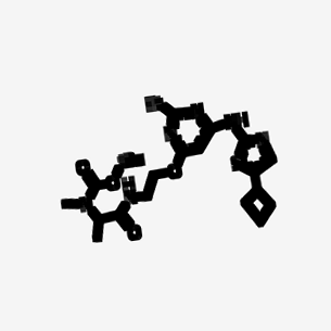 CCc1nc(Nc2ncc(C3CCC3)s2)cc(OCCNC(=O)C(C)N(C)C(=O)OC(C)(C)C)n1